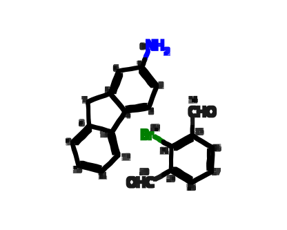 Nc1ccc2c(c1)Cc1ccccc1-2.O=Cc1cccc(C=O)c1Br